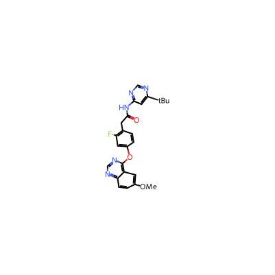 COc1ccc2ncnc(Oc3ccc(CC(=O)Nc4cc(C(C)(C)C)ncn4)c(F)c3)c2c1